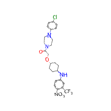 O=C(CO[C@H]1CC[C@H](Nc2ccc([N+](=O)[O-])c(C(F)(F)F)c2)CC1)N1CCN(c2ccc(Cl)cc2)CC1